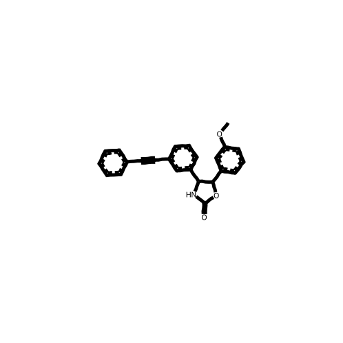 COc1cccc(C2OC(=O)NC2c2cccc(C#Cc3ccccc3)c2)c1